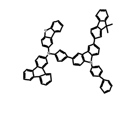 CC1(C)c2ccccc2-c2ccc(-c3ccc4c(c3)c3cc(-c5ccc(N(c6ccc7sc8ccccc8c7c6)c6ccc7c8ccccc8c8ccccc8c7c6)cc5)ccc3n4-c3ccc(-c4ccccc4)cc3)cc21